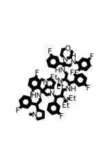 CCN(CC)C(CNC(c1cc(F)ccc1F)C(CNC(CNc1cc(F)[c]cc1F)(c1cccc(F)c1)N1CCOCC1)N(CC)CC)C(NCC(NCC(c1cccc(F)c1)C1CCCN1C)(c1cc(F)ccc1F)C1CCCN1C)c1cccc(F)c1